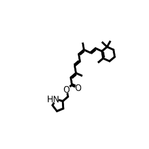 CC1=C(/C=C/C(C)=C\C=C\C(C)=C\C(=O)OCC2CCCN2)C(C)(C)CCC1